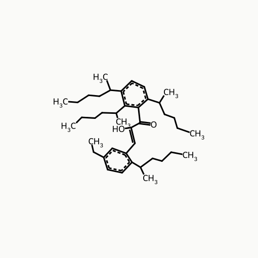 CCCCC(C)c1ccc(CC)cc1C=C(O)C(=O)c1c(C(C)CCCC)ccc(C(C)CCCC)c1C(C)CCCC